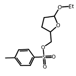 CCOC1CCC(COS(=O)(=O)c2ccc(C)cc2)O1